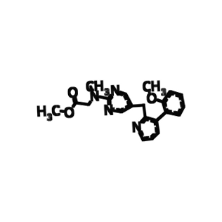 COC(=O)CN(C)c1ncc(Cc2ncccc2-c2ccccc2OC)cn1